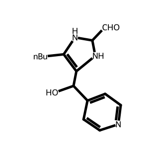 CCCCC1=C(C(O)c2ccncc2)NC(C=O)N1